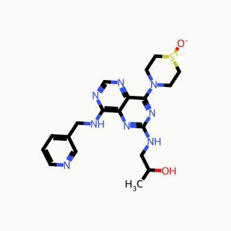 CC(O)CNc1nc(N2CC[S+]([O-])CC2)c2ncnc(NCc3cccnc3)c2n1